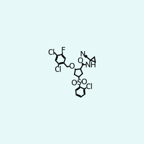 N#CC1(NC(=O)C2CC(S(=O)(=O)c3ccccc3Cl)CC2OCc2cc(F)c(Cl)cc2Cl)CC1